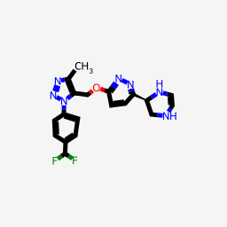 Cc1nnn(-c2ccc(C(F)F)cc2)c1COc1ccc([C@@H]2CNC=CN2)nn1